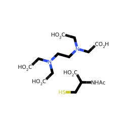 CC(=O)NC(CS)C(=O)O.O=C(O)CN(CCN(CC(=O)O)CC(=O)O)CC(=O)O